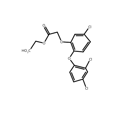 O=C(O)COC(=O)COc1cc(Cl)ccc1Oc1ccc(Cl)cc1Cl